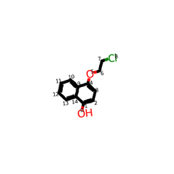 Oc1ccc(OCCCl)c2ccccc12